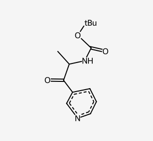 CC(NC(=O)OC(C)(C)C)C(=O)c1cccnc1